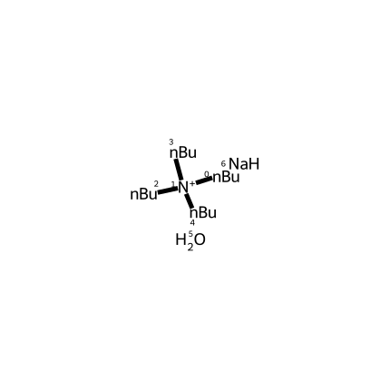 CCCC[N+](CCCC)(CCCC)CCCC.O.[NaH]